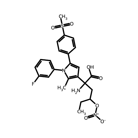 CCC(CC(N)(C(=O)O)c1cc(-c2ccc(S(C)(=O)=O)cc2)n(-c2cccc(F)c2)c1C)O[N+](=O)[O-]